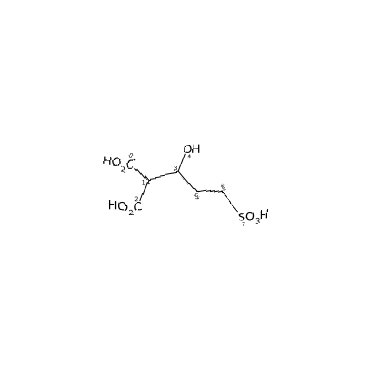 O=C(O)[C](C(=O)O)C(O)CCS(=O)(=O)O